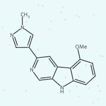 COc1cccc2[nH]c3cnc(-c4cnn(C)c4)cc3c12